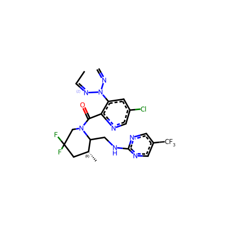 C=NN(/N=C\C)c1cc(Cl)cnc1C(=O)N1CC(F)(F)C[C@@H](C)C1CNc1ncc(C(F)(F)F)cn1